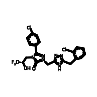 O=c1n(Cc2nnc(Cc3ccccc3Cl)[nH]2)nc(-c2ccc(Cl)cc2)n1C[C@H](O)C(F)(F)F